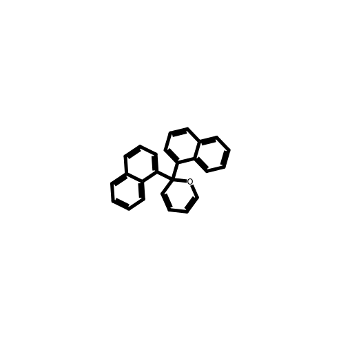 C1=COC(c2cccc3ccccc23)(c2cccc3ccccc23)C=C1